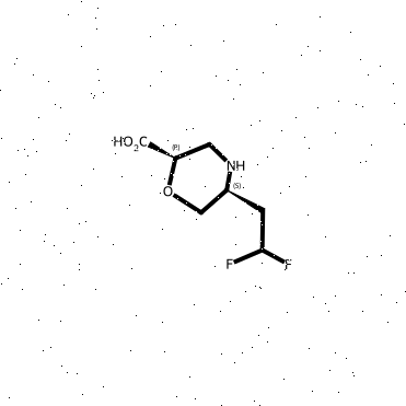 O=C(O)[C@H]1CN[C@@H](CC(F)F)CO1